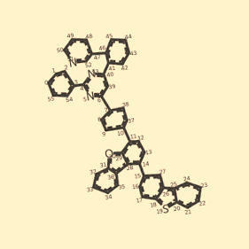 c1ccc(-c2nc(-c3ccc(-c4ccc(-c5ccc6sc7ccccc7c6c5)c5c4oc4ccccc45)cc3)cc(-c3ccccc3-c3cccnc3)n2)cc1